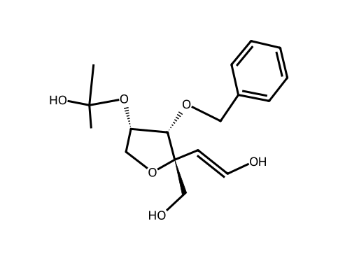 CC(C)(O)O[C@H]1CO[C@](/C=C/O)(CO)[C@H]1OCc1ccccc1